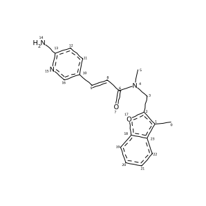 Cc1c(CN(C)C(=O)C=Cc2ccc(N)nc2)oc2ccccc12